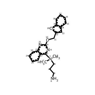 C[N+](C)(CCCN)c1nc(OCc2cc3ccccc3o2)nc2ccccc12